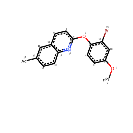 CCCOc1ccc(Oc2ccc3cc(C(C)=O)ccc3n2)c(Br)c1